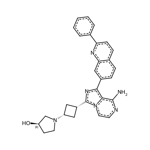 Nc1nccn2c1c(-c1ccc3ccc(-c4ccccc4)nc3c1)nc2[C@H]1C[C@@H](N2CC[C@@H](O)C2)C1